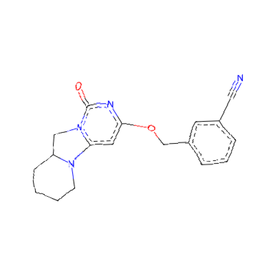 N#Cc1cccc(COc2cc3n(c(=O)n2)CC2CCCCN32)c1